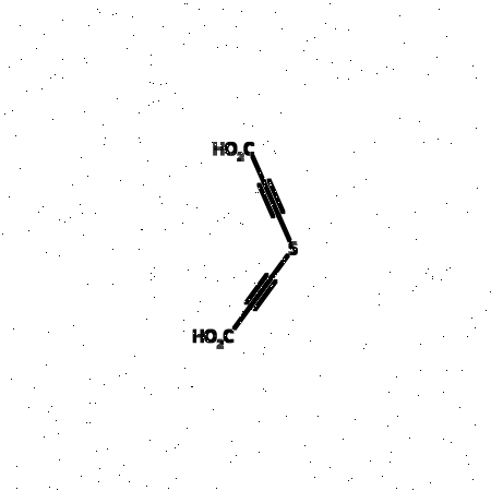 O=C(O)C#CSC#CC(=O)O